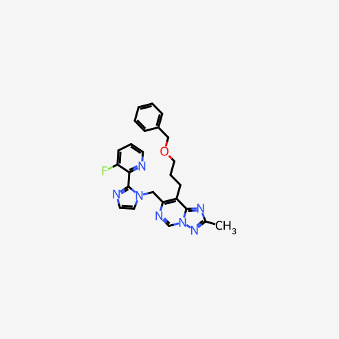 Cc1nc2c(CCCOCc3ccccc3)c(Cn3ccnc3-c3ncccc3F)ncn2n1